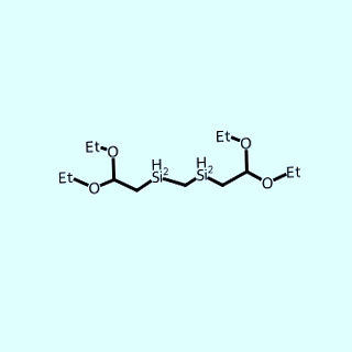 CCOC(C[SiH2]C[SiH2]CC(OCC)OCC)OCC